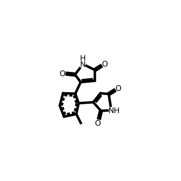 Cc1cccc(C2=CC(=O)NC2=O)c1C1=CC(=O)NC1=O